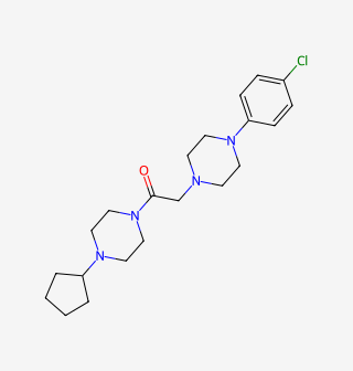 O=C(CN1CCN(c2ccc(Cl)cc2)CC1)N1CCN(C2CCCC2)CC1